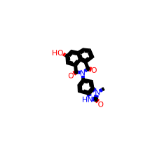 Cn1c(=O)[nH]c2ccc(N3C(=O)c4cccc5cc(O)cc(c45)C3=O)cc21